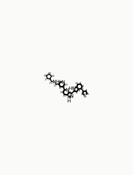 c1cc(-c2ccsc2)c2cc(-c3n[nH]c4ccc(-c5cncc(CNCC6CCCC6)c5)nc34)[nH]c2c1